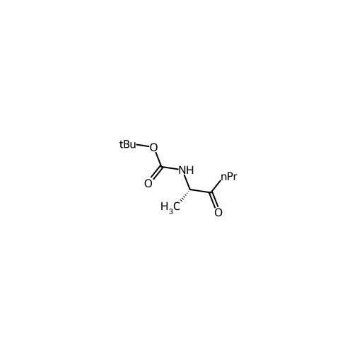 CCCC(=O)[C@H](C)NC(=O)OC(C)(C)C